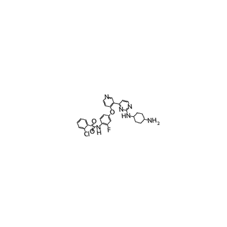 NC1CCC(Nc2nccc(-c3cnccc3Oc3ccc(NS(=O)(=O)c4ccccc4Cl)c(F)c3)n2)CC1